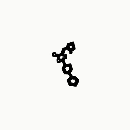 O=C1OC(c2ccc(-c3ccccc3)cc2)=NC1=Cc1cccs1